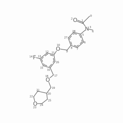 CC(=O)N(C)c1ccc(COc2cc(F)cc(COCC3CCOCC3)c2)cc1